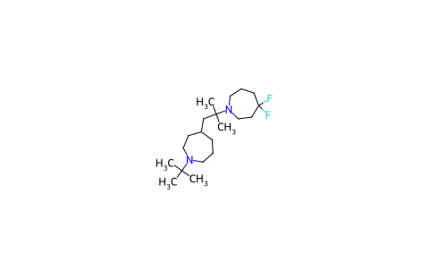 CC(C)(C)N1CCCC(CC(C)(C)N2CCCC(F)(F)CC2)CC1